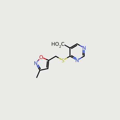 Cc1cc(CSc2ncncc2C(=O)O)on1